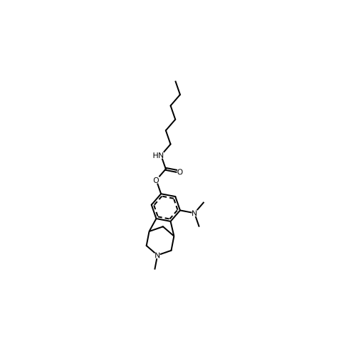 CCCCCCNC(=O)Oc1cc2c(c(N(C)C)c1)C1CC2CN(C)C1